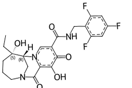 CC[C@]1(O)CCCN2C[C@H]1n1cc(C(=O)NCc3c(F)cc(F)cc3F)c(=O)c(O)c1C2=O